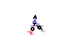 CCc1ccc(CNc2nc(N3CC4CC4C3)ncc2C(=O)NC2CCC(OP(O)O)CC2)cc1Cl